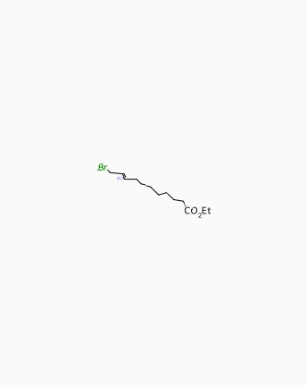 CCOC(=O)CCCCCCC/C=C/CBr